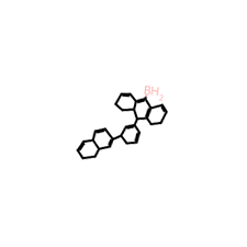 BC1=C2C=CCCC2C(C2=CC(C3=CC4CCC=CC4C=C3)CC=C2)C2=C1C=CCC2